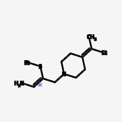 CCS/C(=C\N)CN1CCC(=C(C)CC)CC1